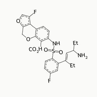 CCC(=CC(N)CC)c1cc(F)ccc1S(=O)(=O)Nc1ccc2c(c1C(=O)O)OCc1occ(F)c1-2